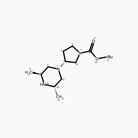 C[C@H]1CN([C@@H]2CCN(C(=O)OC(C)(C)C)C2)C[C@H](C)N1